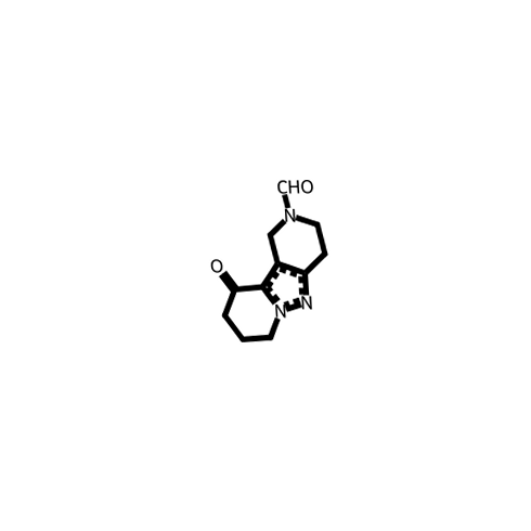 O=CN1CCc2nn3c(c2C1)C(=O)CCC3